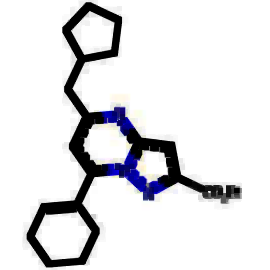 CCOC(=O)c1cc2nc(CC3CCCC3)cc(C3=CCCCC3)n2n1